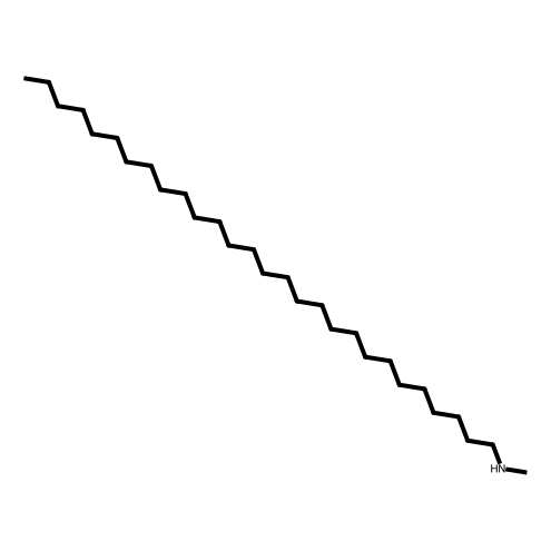 CCCCCCCCCCCCCCCCCCCCCCCCCCCCNC